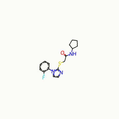 O=C(CSc1nccn1-c1ccccc1F)NC1CCCC1